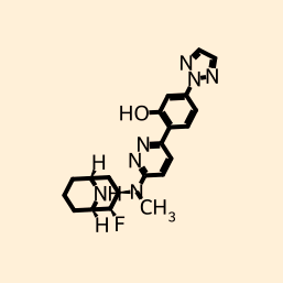 CN(c1ccc(-c2ccc(-n3nccn3)cc2O)nn1)[C@@H]1C[C@H]2CCC[C@H](N2)[C@@H]1F